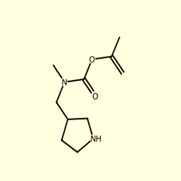 C=C(C)OC(=O)N(C)CC1CCNC1